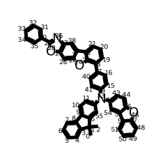 CC1(C)c2ccccc2-c2ccc(N(c3ccc(-c4cccc5c4oc4cc6oc(-c7ccccc7)nc6cc45)cc3)c3ccc4oc5ccccc5c4c3)cc21